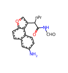 CCCC(C(=O)NC=O)c1coc2ccc3cc(N)ccc3c12